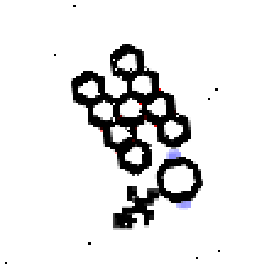 C1=C\CC/C=C\CC/1.F[B-](F)(F)F.[Rh].c1ccc(P(c2ccccc2)c2ccc3ccccc3c2-c2c(P(c3ccccc3)c3ccccc3)ccc3ccccc23)cc1